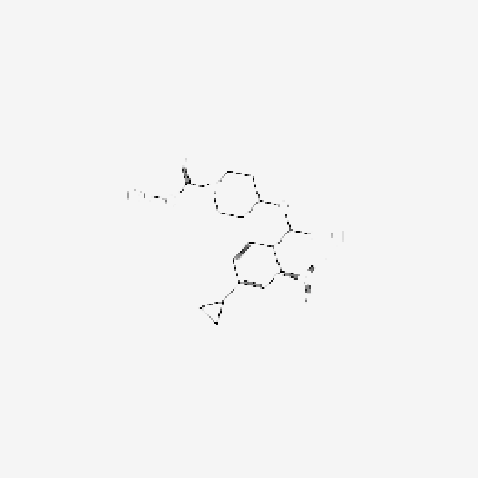 CC(C)(C)OC(=O)N1CCC(OC(C(=O)O)C2C=CC(C3CC3)=CC2=S(=O)=O)CC1